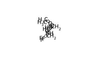 C=CC(CC(O)CC(=O)NCC1C/C(=C/C(F)(F)F)CCC1=C)NC(=O)COc1ccc(C)c(C)c1